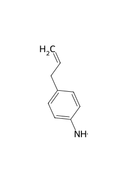 C=CCc1ccc([NH])cc1